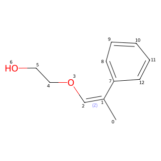 C/C(=C/OCCO)c1ccccc1